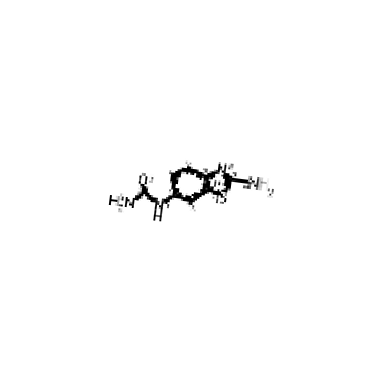 NC(=O)Nc1ccc2nc(N)sc2c1